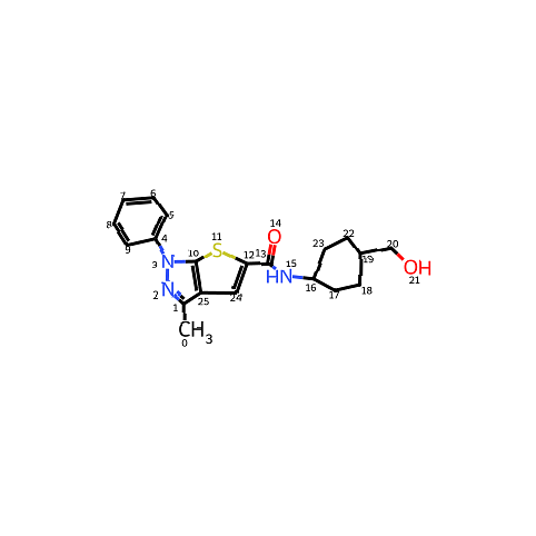 Cc1nn(-c2ccccc2)c2sc(C(=O)NC3CCC(CO)CC3)cc12